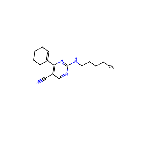 CCCCCNc1ncc(C#N)c(C2=CCCCC2)n1